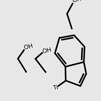 CCO.CCO.CCO.[Ti][CH]1C=Cc2ccccc21